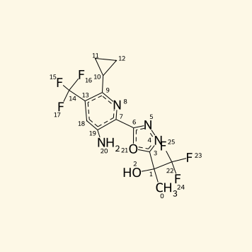 CC(O)(c1nnc(-c2nc(C3CC3)c(C(F)(F)F)cc2N)o1)C(F)(F)F